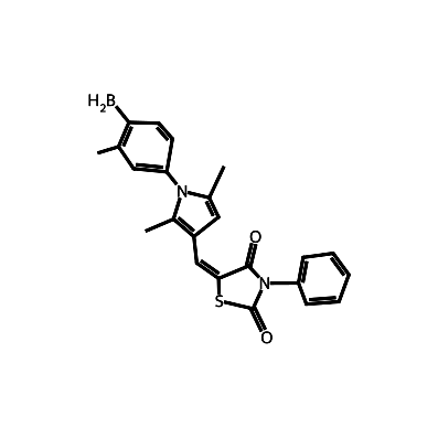 Bc1ccc(-n2c(C)cc(C=C3SC(=O)N(c4ccccc4)C3=O)c2C)cc1C